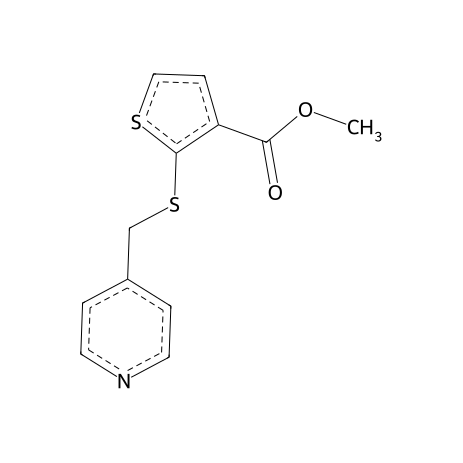 COC(=O)c1ccsc1SCc1ccncc1